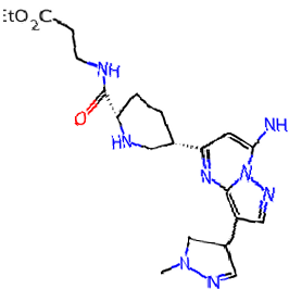 CCOC(=O)CCNC(=O)[C@@H]1CC[C@H](c2cc(N)n3ncc(C4C=NN(C)C4)c3n2)CN1